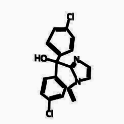 C=Cn1ccnc1C(O)(c1ccc(Cl)cc1)c1ccc(Cl)cc1